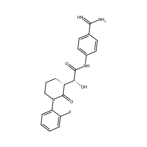 N=C(N)c1ccc(NC(=O)[C@H](O)[C@H]2CCCN(c3ccccc3F)C2=O)cc1